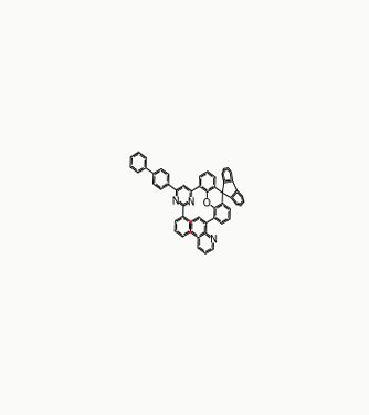 c1ccc(-c2ccc(-c3cc(-c4cccc5c4Oc4c(-c6cccc7cccnc67)cccc4C54c5ccccc5-c5ccccc54)nc(-c4ccccc4)n3)cc2)cc1